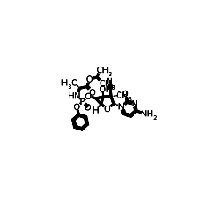 CC(C)OC(=O)[C@@H](C)NP(=O)(Oc1ccccc1)OC1[C@H]2O[C@@H](n3ccc(N)nc3=O)[C@](C)(C#N)[C@@]12O